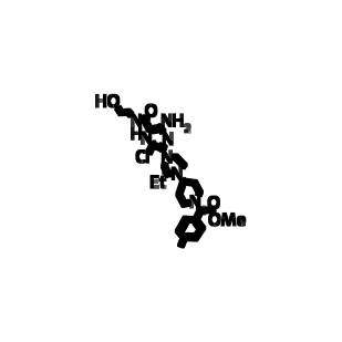 CC[C@H]1CN(c2nc(N)c(C(=O)NCCO)nc2Cl)CCN1C1CCN([C@@H](C(=O)OC)c2ccc(C)cc2)CC1